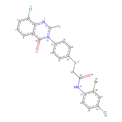 Cc1nc2c(Cl)cccc2c(=O)n1-c1ccc(SCC(=O)Nc2ccc(Cl)cc2Br)cc1